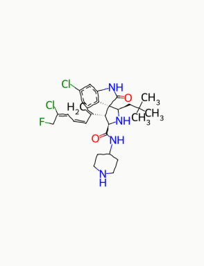 C=C(/C=C\C=C(\Cl)CF)[C@H]1[C@H](C(=O)NC2CCNCC2)N[C@H](CC(C)(C)C)[C@]12C(=O)Nc1cc(Cl)ccc12